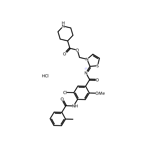 COc1cc(NC(=O)c2ccccc2C)c(Cl)cc1C(=O)/N=c1\sccn1COC(=O)C1CCNCC1.Cl